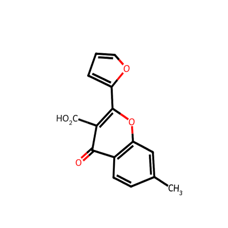 Cc1ccc2c(=O)c(C(=O)O)c(-c3ccco3)oc2c1